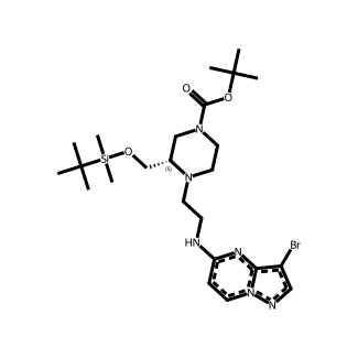 CC(C)(C)OC(=O)N1CCN(CCNc2ccn3ncc(Br)c3n2)[C@H](CO[Si](C)(C)C(C)(C)C)C1